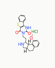 COc1cccc2c1[C@H]1C(CCn3c(=O)[nH]c4c(sc5ccccc54)c3=O)NC[C@H]1CC2.Cl